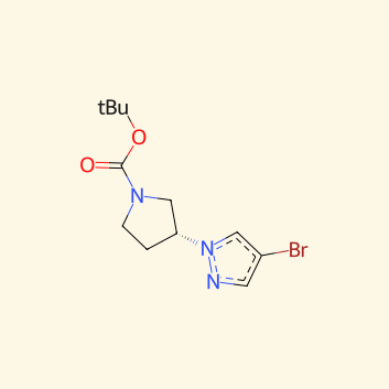 CC(C)(C)OC(=O)N1CC[C@@H](n2cc(Br)cn2)C1